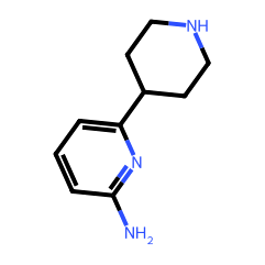 Nc1cccc(C2CCNCC2)n1